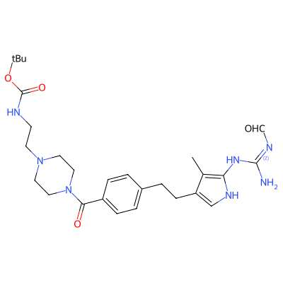 Cc1c(CCc2ccc(C(=O)N3CCN(CCNC(=O)OC(C)(C)C)CC3)cc2)c[nH]c1N/C(N)=N\C=O